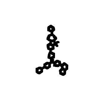 CC1(C)C2=C(C=CC(c3ccccc3)C=C2)c2ccc(-c3ccc(N(c4ccc(-c5ccccc5)cc4)c4ccc(-c5cccc6ccccc56)cc4)cc3)cc21